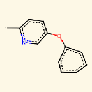 [CH2]c1ccc(Oc2ccccc2)cn1